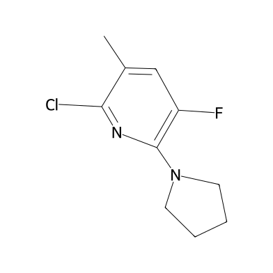 Cc1cc(F)c(N2CCCC2)nc1Cl